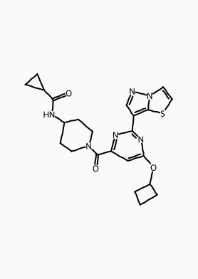 O=C(NC1CCN(C(=O)c2cc(OC3CCC3)nc(-c3cnn4ccsc34)n2)CC1)C1CC1